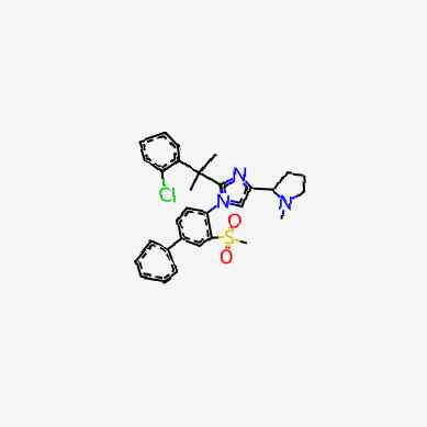 CN1CCCC1c1cn(-c2ccc(-c3ccccc3)cc2S(C)(=O)=O)c(C(C)(C)c2ccccc2Cl)n1